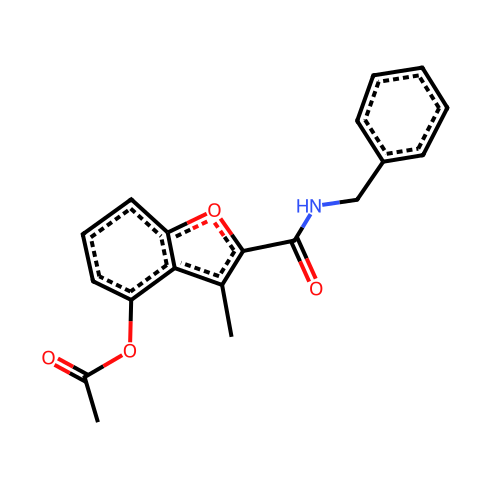 CC(=O)Oc1cccc2oc(C(=O)NCc3ccccc3)c(C)c12